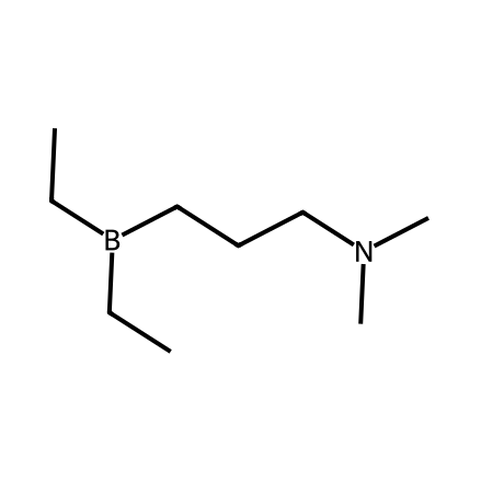 CCB(CC)CCCN(C)C